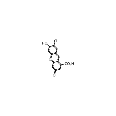 O=C(O)c1cc(=O)cc2oc3cc(O)c(Cl)cc3nc1-2